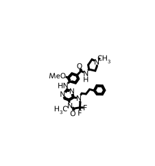 COc1cc(C(=O)NC2CCN(C)CC2)ccc1Nc1ncc2c(n1)N(CCCc1ccccc1)CC(F)(F)C(=O)N2C